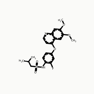 COc1cc2nccc(Oc3ccc(NS(=O)(=O)CC(C)C)c(F)c3)c2cc1OC